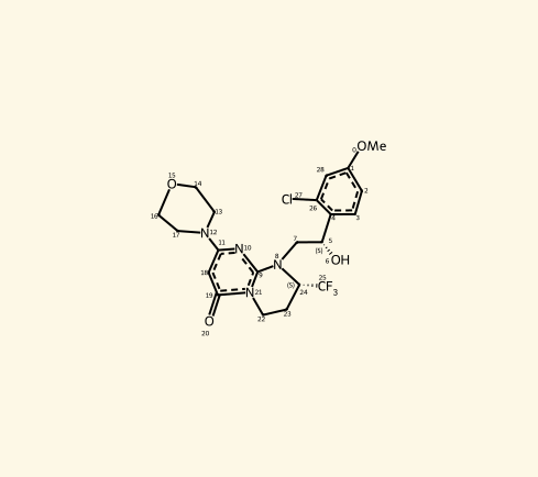 COc1ccc([C@H](O)CN2c3nc(N4CCOCC4)cc(=O)n3CC[C@H]2C(F)(F)F)c(Cl)c1